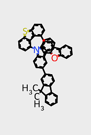 CC1(C)c2ccccc2-c2ccc(-c3ccc4c(c3)c3ccccc3n4-c3cccc4sc5cccc(-c6ccc7oc8ccccc8c7c6)c5c34)cc21